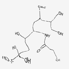 CC(=O)OC(CC(NC(=O)CO)C(O)CC(O)(O)C(=O)O)C(O)CO